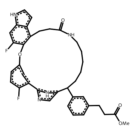 COC(=O)CCc1cccc(C2CCCCCNC(=O)CCc3c(c(F)cc4[nH]ccc34)Oc3ccc(F)c(c3)-c3ncc2[nH]3)c1